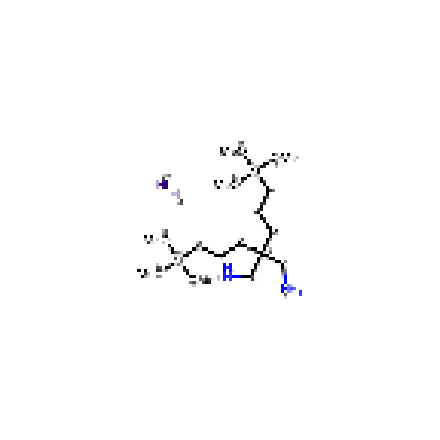 CO[Si](CCCC(CN)(CN)CCC[Si](OC)(OC)OC)(OC)OC.I.I